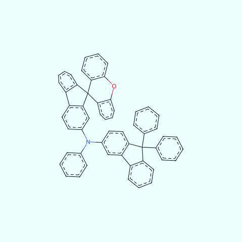 c1ccc(N(c2ccc3c(c2)-c2ccccc2C3(c2ccccc2)c2ccccc2)c2ccc3c(c2)C2(c4ccccc4Oc4ccccc42)c2ccccc2-3)cc1